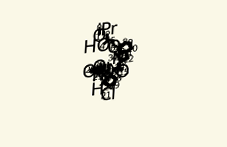 CC(C)OCC(O)COc1cccc2cc(C(=O)Nc3ccc(Cl)cc3-c3noc(=O)[nH]3)n(C)c12